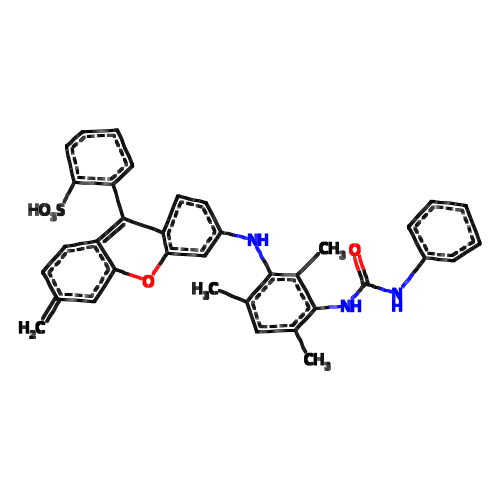 C=c1ccc2c(c1)Oc1cc(Nc3c(C)cc(C)c(NC(=O)Nc4ccccc4)c3C)ccc1C=2c1ccccc1S(=O)(=O)O